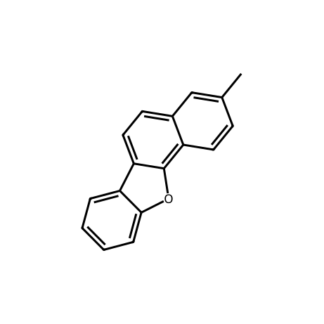 Cc1ccc2c(ccc3c4ccccc4oc23)c1